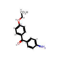 Nc1ccc(C(=O)c2ccc(OCC(=O)O)cc2)cc1